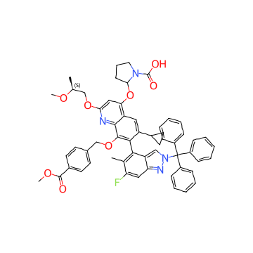 COC(=O)c1ccc(COc2c(-c3c(C)c(F)cc4nn(C(c5ccccc5)(c5ccccc5)c5ccccc5)cc34)c(C3CC3)cc3c(OC4CCCN4C(=O)O)cc(OC[C@H](C)OC)nc23)cc1